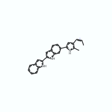 C/C=C\c1cc(-c2ccc3cc(-c4cc5ccccc5[nH]4)[nH]c3c2)[nH]c1C